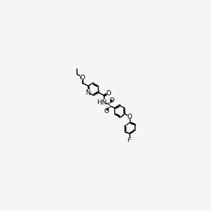 CCOCc1ccc(C(=O)NS(=O)(=O)c2ccc(Oc3ccc(F)cc3)cc2)cn1